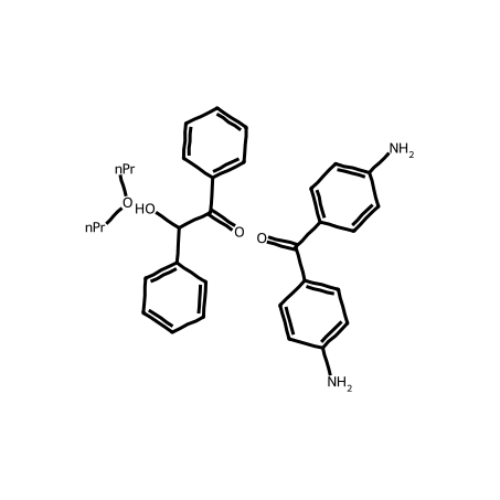 CCCOCCC.Nc1ccc(C(=O)c2ccc(N)cc2)cc1.O=C(c1ccccc1)C(O)c1ccccc1